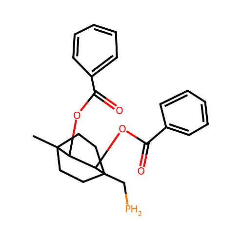 CC12CCC(CP)(CC1)C(OC(=O)c1ccccc1)C2OC(=O)c1ccccc1